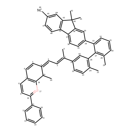 C/C(=C\C=C1\C=Cc2ccc(-c3ccccc3)bc2C1C)c1ccc(C)c(-c2c(C)cccc2-c2ccc3c(c2)C(C)(C)c2cc(C#N)ccc2-3)c1